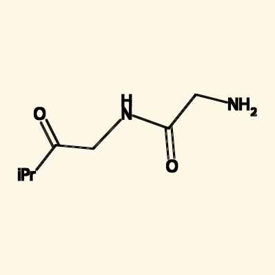 CC(C)C(=O)CNC(=O)CN